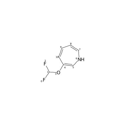 FC(F)OC1=CNC=CC=C1